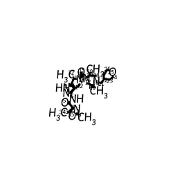 Cc1nc(C(=O)Nc2n[nH]c3c2CN(C(=O)N2C[C@@H](C)N(CC4CCOCC4)C[C@@H]2C)C3C)c(C)o1